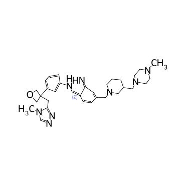 CN1CCN(CC2CCCN(CC3=CC(=N)/C(=C\Nc4cccc(C5(Cc6nncn6C)COC5)c4)C=C3)C2)CC1